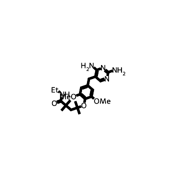 CCNC(=O)C(C)(C)CC(C)(C)Oc1c(OC)cc(Cc2cnc(N)nc2N)cc1OC